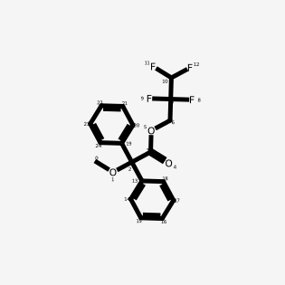 COC(C(=O)OCC(F)(F)C(F)F)(c1ccccc1)c1ccccc1